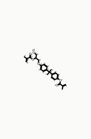 C=C(C)C(=O)Oc1ccc(C(C)(C)c2ccc(OCC(CO)OC(=O)C(=C)C)cc2)cc1